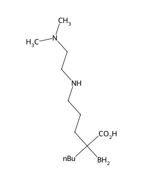 BC(CCCC)(CCCNCCN(C)C)C(=O)O